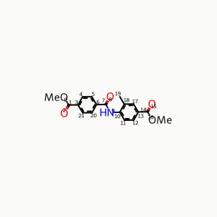 COC(=O)c1ccc(C(=O)Nc2ccc(C(=O)OC)cc2C)cc1